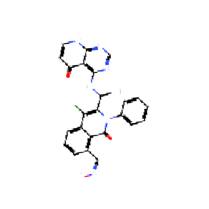 CC(Nc1ncnc2[nH]ccc(=O)c12)c1c(Cl)c2cccc(/C=N\O)c2c(=O)n1-c1ccccc1